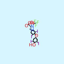 O=C(O)[C@H](Cc1cc(I)c(Oc2cc(I)c(O)c(I)c2)c(I)c1)NC(=O)C(F)(F)F